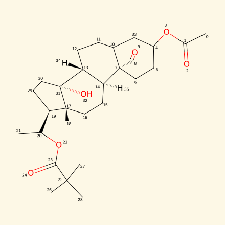 CC(=O)OC1CC[C@]2(C=O)C(CC[C@@H]3[C@@H]2CC[C@]2(C)[C@@H](C(C)OC(=O)C(C)(C)C)CC[C@@]32O)C1